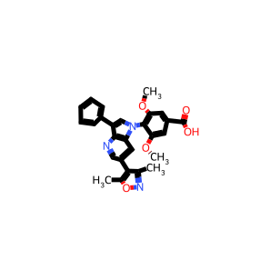 COc1cc(C(=O)O)cc(OC)c1-n1cc(-c2ccccc2)c2ncc(-c3c(C)noc3C)cc21